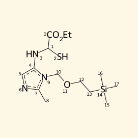 CCOC(=O)C(S)Nc1cnc(C)n1COCC[Si](C)(C)C